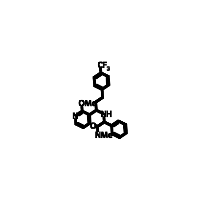 CNC(=O)C(NC(CCc1ccc(C(F)(F)F)cc1)c1cccnc1OC)c1ccccc1